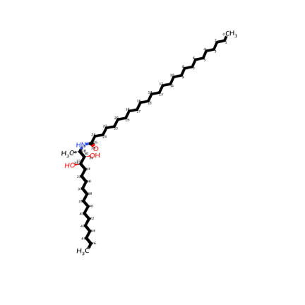 CCCCCCCCCCCCCCCCCCCCCCCCCC(=O)N[C@@H](C)[C@H](O)[C@H](O)CCCCCCCCCCCCCC